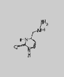 NNCC1C=CNC(=O)N1